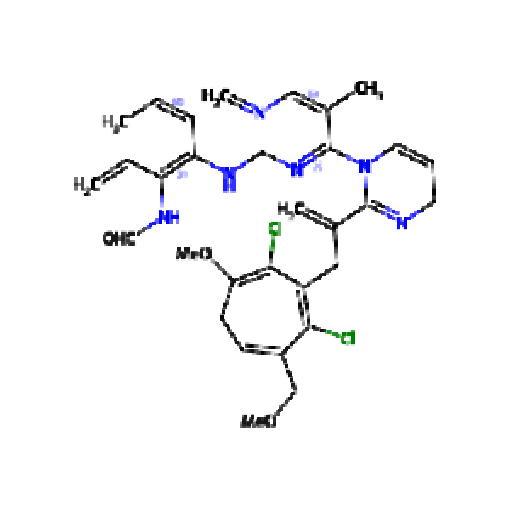 C=C/C(NC=O)=C(\C=C/C)NC/N=C(\C(C)=C/N=C)N1C=CCN=C1C(=C)CC1=C(Cl)C(COC)=CCC(OC)=C1Cl